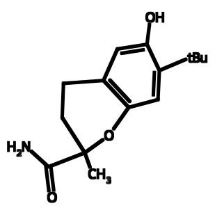 CC1(C(N)=O)CCc2cc(O)c(C(C)(C)C)cc2O1